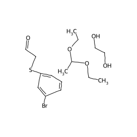 CCOC(C)OCC.O=CCSc1cccc(Br)c1.OCCO